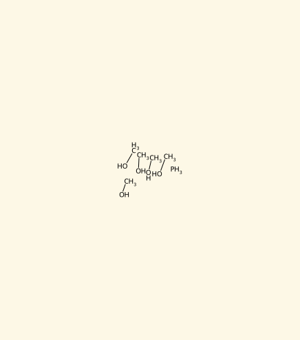 CO.CO.CO.CO.CO.P